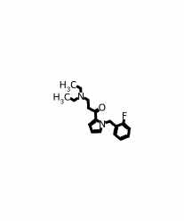 CCN(CC)CCC(=O)c1cccn1Cc1ccccc1F